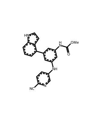 COC(=O)Nc1cc(Nc2ccc(C#N)nc2)cc(-c2cccc3[nH]ccc23)c1